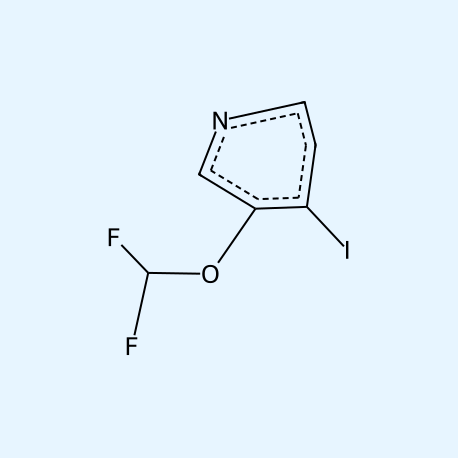 FC(F)Oc1cnccc1I